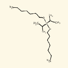 CC(C)[Si](OCCCCCCN)(OCCCCCCN)C(C)C